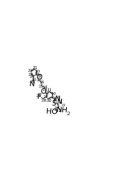 C[C@](N)(CO)c1nnc(-c2ccc(OCCCCOc3ccccc3C#N)c(CF)c2)s1